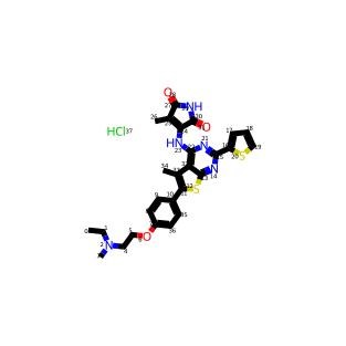 CCN(C)CCOc1ccc(-c2sc3nc(-c4cccs4)nc(NC4=C(C)C(=O)NC4=O)c3c2C)cc1.Cl